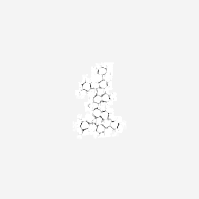 Cc1cccc(N(c2cccc(-c3ccccc3)c2)c2cc3oc4cc(N(c5cccc(C)c5)c5cccc(-c6ccccc6)c5)c5ccccc5c4c3c3ccccc23)c1